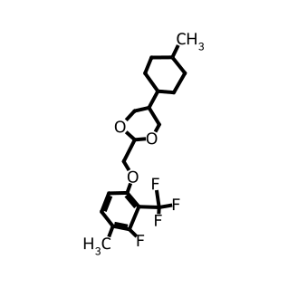 Cc1ccc(OCC2OCC(C3CCC(C)CC3)CO2)c(C(F)(F)F)c1F